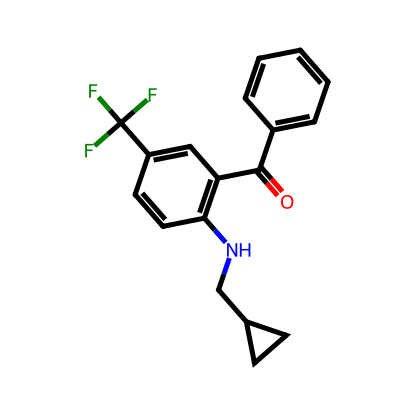 O=C(c1ccccc1)c1cc(C(F)(F)F)ccc1NCC1CC1